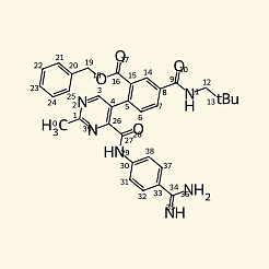 Cc1ncc(-c2ccc(C(=O)NCC(C)(C)C)cc2C(=O)OCc2ccccc2)c(C(=O)Nc2ccc(C(=N)N)cc2)n1